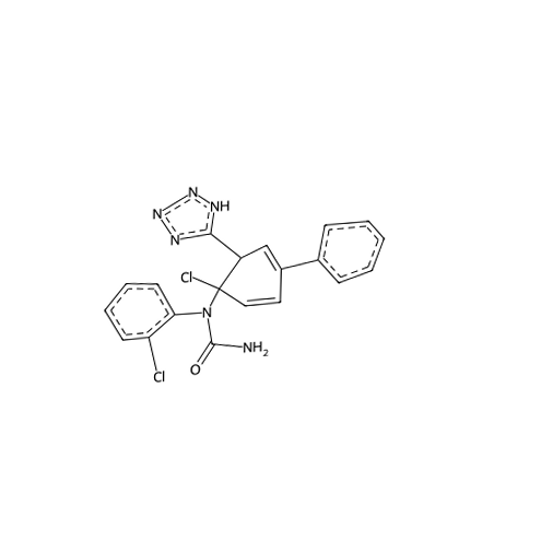 NC(=O)N(c1ccccc1Cl)C1(Cl)C=CC(c2ccccc2)=CC1c1nnn[nH]1